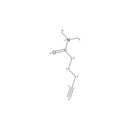 C#CCCCC(=O)N(C)C